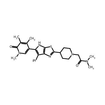 Cc1c(-c2[nH]c3sc(C4CCN(CC(=O)N(C)C)CC4)nc3c2C(C)C)cn(C)c(=O)c1C